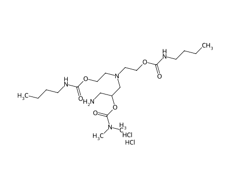 CCCCNC(=O)OCCN(CCOC(=O)NCCCC)CC(CN)OC(=O)N(C)C.Cl.Cl